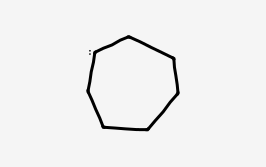 [C]1CCCCCC1